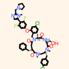 C[C@H]1C(=O)N[C@@H](CO)C(=O)N(C)[C@H](Cc2ccc(Cl)cc2)CN(C)C(=O)[C@H](Cc2ccccc2)CC(=O)N1Cc1ccc(Cl)cc1Oc1cc(F)c(-c2cnc(CN3CCCC3)n2C)c(F)c1